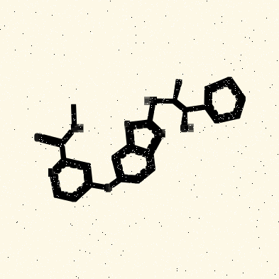 CNC(=O)c1cc(Oc2ccc3nc(N[C@@H](C)[C@H](O)c4ccccc4)sc3c2)ccn1